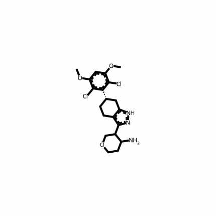 COc1cc(OC)c(Cl)c([C@H]2CCc3c(C4COCCC4N)n[nH]c3C2)c1Cl